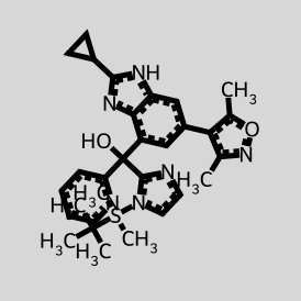 Cc1noc(C)c1-c1cc(C(O)(c2ccccn2)c2nccn2S(C)(C)C(C)(C)C)c2nc(C3CC3)[nH]c2c1